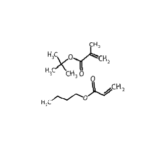 C=C(C)C(=O)OC(C)(C)C.C=CC(=O)OCCCC